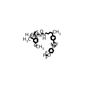 COc1ccc(-n2c(C)cs/c2=N\C(=O)NCCCC(C)c2ccc(-c3ncn(-c4ccc(OC(F)(F)F)cc4)n3)cc2)c(C(C)C)c1